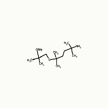 COC(C)(C)COC(C)(C)CCC(C)(C)N